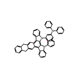 c1ccc(N(c2ccccc2)c2cccc(-n3c4ccccc4c4c5cc6c(cc5c5c7ccccc7n(-c7ccccc7)c5c43)Cc3ccccc3C6)c2)cc1